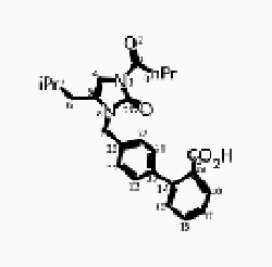 CCCC(=O)n1cc(CC(C)C)n(Cc2ccc(-c3ccccc3C(=O)O)cc2)c1=O